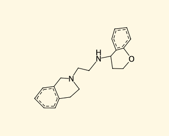 c1ccc2c(c1)CCN(CCNC1CCOc3ccccc31)C2